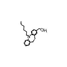 CCCCCCN1c2ccccc2CCc2cc(CO)ccc21